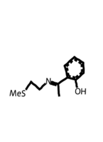 CSCC/N=C(\C)c1ccccc1O